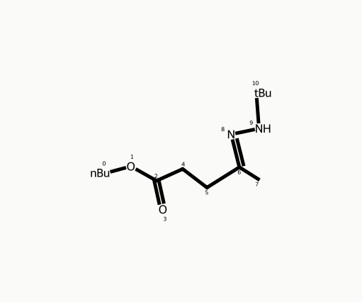 CCCCOC(=O)CCC(C)=NNC(C)(C)C